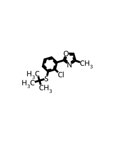 Cc1coc(-c2cccc(SC(C)(C)C)c2Cl)n1